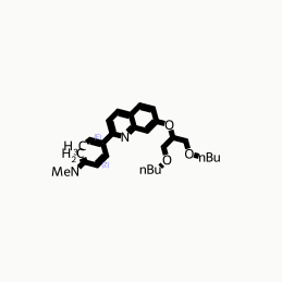 C=C(/C=C\C(=C/C)c1ccc2ccc(OC(COCCCC)COCCCC)cc2n1)NC